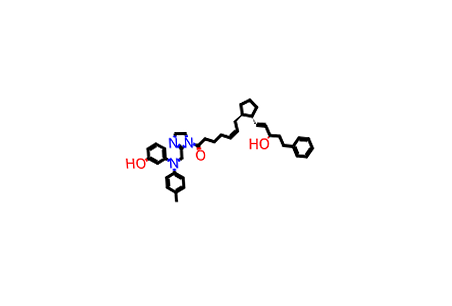 Cc1ccc(N(CC2=NCCN2C(=O)CCC/C=C\C[C@H]2CCC[C@@H]2/C=C/[C@@H](O)CCc2ccccc2)c2cccc(O)c2)cc1